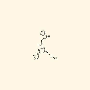 OCCCSc1cc(N2CCOCC2)nc(N/N=C/c2c[nH]c3ccccc23)n1